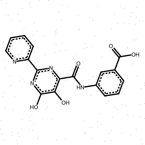 O=C(O)c1cccc(NC(=O)c2nc(-c3ccccn3)nc(O)c2O)c1